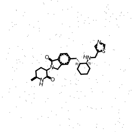 C=C1CCC(N2Cc3cc(C[C@H]4CCCC[C@@H]4NCc4cncs4)ccc3C2=O)C(=O)N1